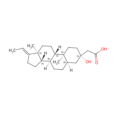 CC=C1CC[C@H]2[C@@H]3CC[C@@H]4C[C@](O)(CC(=O)O)CC[C@]4(C)[C@H]3CC[C@]12C